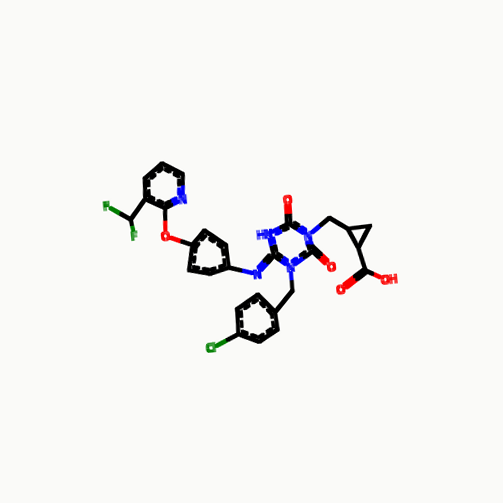 O=C(O)C1CC1Cn1c(=O)[nH]/c(=N\c2ccc(Oc3ncccc3C(F)F)cc2)n(Cc2ccc(Cl)cc2)c1=O